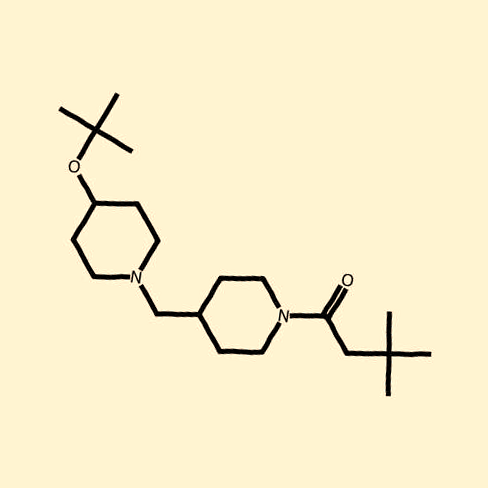 CC(C)(C)CC(=O)N1CCC(CN2CCC(OC(C)(C)C)CC2)CC1